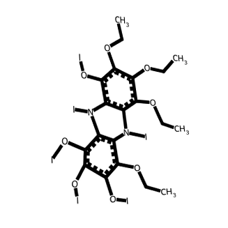 CCOc1c(OCC)c(OCC)c2c(c1OI)N(I)c1c(OI)c(OI)c(OI)c(OCC)c1N2I